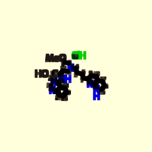 COCCN(CCCCc1ccc2c(n1)NCCC2)CC[C@H](Nc1ncnc2ccccc12)C(=O)O.Cl